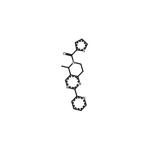 CC1c2cnc(-c3ccccn3)nc2CCN1C(=O)c1cccs1